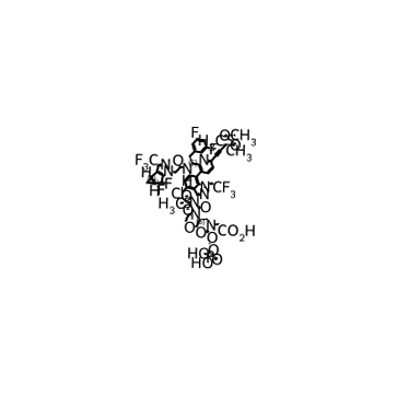 CC(C)(C#Cc1ccc(-c2ccc(Cl)c3c(N(C(=O)N4CCOC[C@@H]4CN(CC(=O)O)C(=O)OCOP(=O)(O)O)S(C)(=O)=O)nn(CC(F)(F)F)c23)c([C@H](Cc2cc(F)cc(F)c2)NC(=O)Cn2nc(C(F)(F)F)c3c2C(F)(F)[C@@H]2C[C@H]32)n1)S(C)(=O)=O